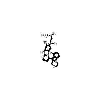 CCN(CCN(CC)c1cc(OC)c(Nc2nccc(-c3c4n(c5ccccc35)CCOC4)n2)cc1[N+](=O)[O-])C(=O)O